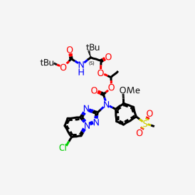 COc1cc(S(C)(=O)=O)ccc1N(C(=O)OC(C)OC(=O)[C@@H](NC(=O)OC(C)(C)C)C(C)(C)C)c1nc2ccc(Cl)cn2n1